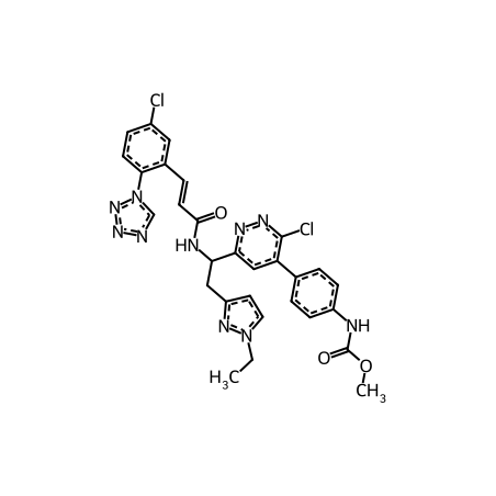 CCn1ccc(CC(NC(=O)/C=C/c2cc(Cl)ccc2-n2cnnn2)c2cc(-c3ccc(NC(=O)OC)cc3)c(Cl)nn2)n1